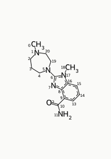 CN1CCCN(c2nc3c(C(N)=O)cccc3n2C)CC1